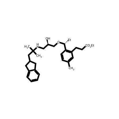 CCOC(=O)CCc1cc(C)ccc1[C@@H](CC)OC[C@H](O)CNC(C)(C)CC1Cc2ccccc2C1